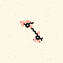 CCCc1c(OCCCCCC(=O)c2cc(OC)c(OC)c(C(C)C)c2)ccc(C(=O)O)c1O